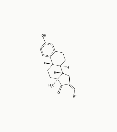 CC(C)C=C1C[C@H]2[C@@H]3CCc4cc(O)ccc4[C@H]3CC[C@]2(C)C1=O